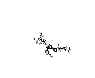 CCC(C)C(N)C(=O)OCn1cc(-c2ccnc(C#N)c2)c2cc(-c3cccc(NC(=O)/C=C/CN(C)C)c3)cnc21